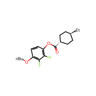 CCCCOc1ccc(OC(=O)[C@H]2CC[C@H](CC)CC2)c(F)c1F